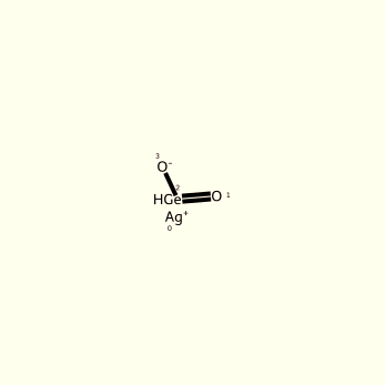 [Ag+].[O]=[GeH][O-]